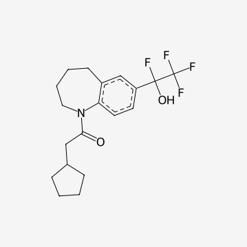 O=C(CC1CCCC1)N1CCCCc2cc(C(O)(F)C(F)(F)F)ccc21